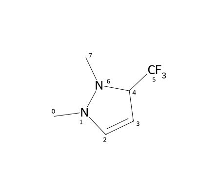 CN1C=CC(C(F)(F)F)N1C